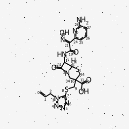 C=CCn1nnnc1SCC1(C(=O)O)CS[C@@H]2C(NC(=O)C(=NO)c3cccc(N)n3)C(=O)N2C1